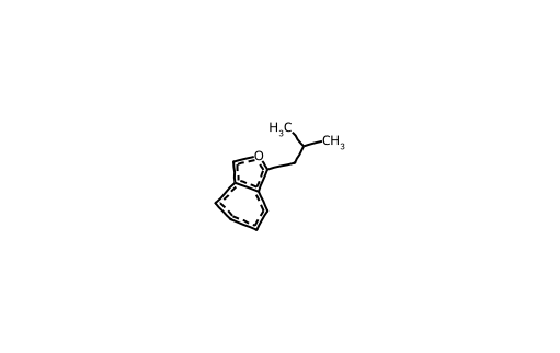 CC(C)Cc1occ2ccccc12